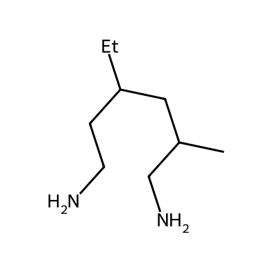 CCC(CCN)CC(C)CN